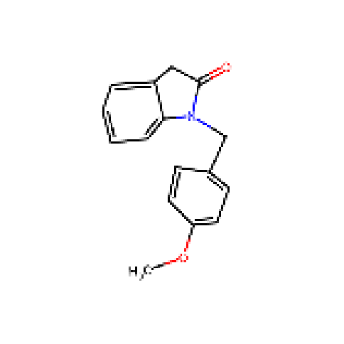 COc1ccc(CN2C(=O)Cc3ccccc32)cc1